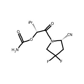 CC(C)[C@@H](OC(N)=O)C(=O)N1CC(F)(F)C[C@H]1C#N